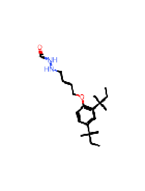 CCC(C)(C)c1ccc(OCCCCNN[C]=O)c(C(C)(C)CC)c1